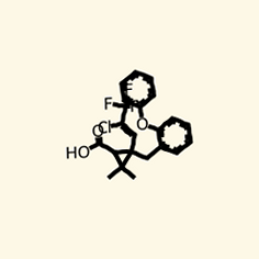 CC1(C)C(C(=O)O)C1(/C=C(\Cl)C(F)(F)F)Cc1ccccc1Oc1ccccc1